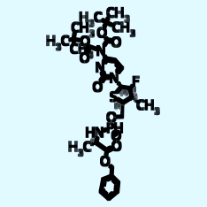 C[C@H]1[C@H](F)[C@H](n2ccc(N(C(=O)OC(C)(C)C)C(=O)OC(C)(C)C)nc2=O)S[C@@H]1CO[PH](=O)N[C@@H](C)C(=O)OCc1ccccc1